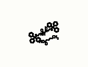 CCCCCC(=O)O.O=C(CNCCSC(c1ccccc1)(c1ccccc1)c1ccccc1)NCCSC(c1ccccc1)(c1ccccc1)c1ccccc1